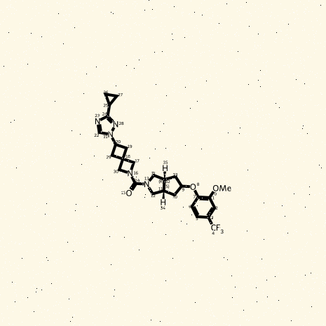 COc1cc(C(F)(F)F)ccc1OC1C[C@@H]2CN(C(=O)N3CC4(CC(n5cnc(C6CC6)n5)C4)C3)C[C@@H]2C1